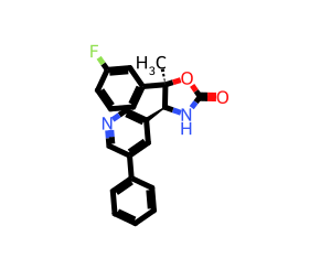 C[C@]1(c2cccc(F)c2)OC(=O)N[C@H]1c1cncc(-c2ccccc2)c1